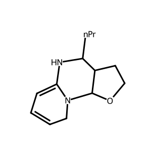 CCCC1NC2=CC=CCN2C2OCCC12